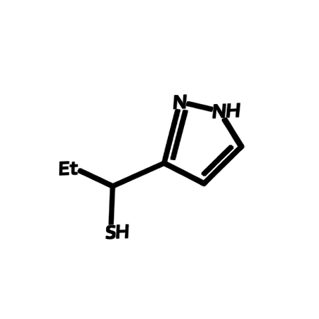 [CH2]CC(S)c1cc[nH]n1